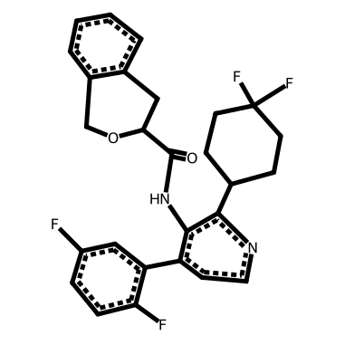 O=C(Nc1c(-c2cc(F)ccc2F)ccnc1C1CCC(F)(F)CC1)C1Cc2ccccc2CO1